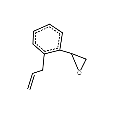 C=CCc1ccccc1C1CO1